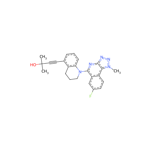 Cn1nnc2nc(N3CCCc4c(C#CC(C)(C)O)cccc43)c3cc(F)ccc3c21